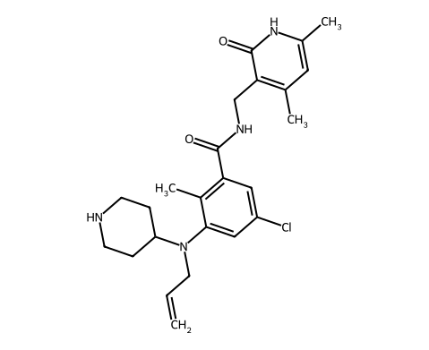 C=CCN(c1cc(Cl)cc(C(=O)NCc2c(C)cc(C)[nH]c2=O)c1C)C1CCNCC1